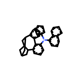 c1ccc(N(c2cccc3c2-c2ccccc2C2CC4CC(C2)C3C4)c2cccc3ccccc23)cc1